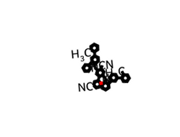 Cc1ccccc1-c1ccc2c(c1)c1ccccc1n2-c1cc(-c2cccc(C#N)c2)c(-n2c3ccccc3c3cc(-c4ccccc4C)ccc32)cc1C#N